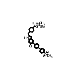 CC(C)(C)[Si](C)(C)OCC1CCC(Cc2cc3cc(-c4ccc(-c5ccc(S(C)(=O)=O)cc5)cc4)c(Cl)cc3[nH]2)CC1